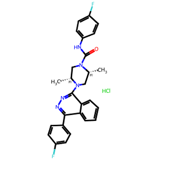 C[C@@H]1CN(c2nnc(-c3ccc(F)cc3)c3ccccc23)[C@H](C)CN1C(=O)Nc1ccc(F)cc1.Cl